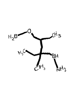 BOC(C)C(C)(C)BN